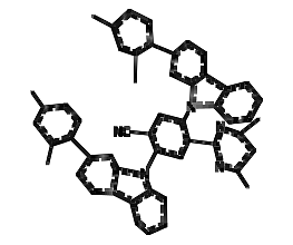 Cc1ccc(-c2ccc3c4ccccc4n(-c4cc(-c5nc(C)cc(C)n5)c(-n5c6ccccc6c6ccc(-c7ccc(C)cc7C)cc65)cc4C#N)c3c2)c(C)c1